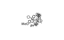 COc1ccc2c(c1)C=C(c1c(C(=O)N3CC(C)OC(C)C3)nnn1C(C)C)Cn1c-2c(C2CCCCC2)c2ccc(C(=O)NS(=O)(=O)N(C)C)cc21